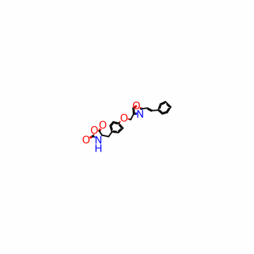 O=C1NC(Cc2ccc(OCc3coc(C=Cc4ccccc4)n3)cc2)C(=O)O1